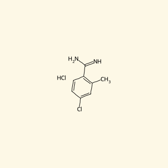 Cc1cc(Cl)ccc1C(=N)N.Cl